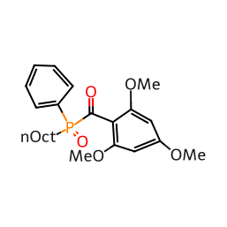 CCCCCCCCP(=O)(C(=O)c1c(OC)cc(OC)cc1OC)c1ccccc1